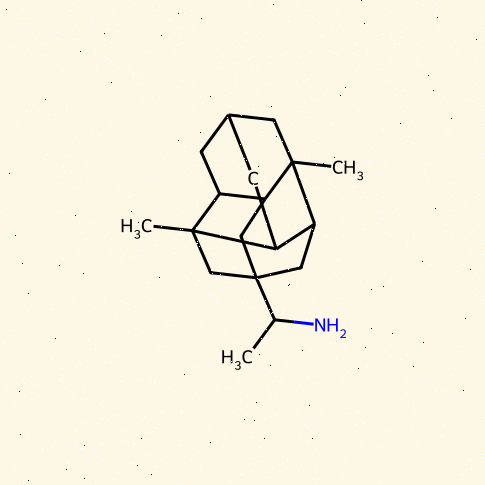 CC(N)C12CC3C4CC5CC(C(C1)C3(C)C5)C4(C)C2